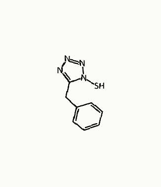 Sn1nnnc1Cc1ccccc1